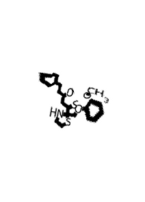 COc1ccccc1OCC1(C(=S)CC(=O)CCc2ccccc2)NCCS1